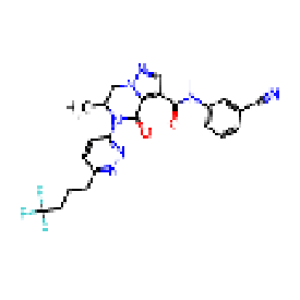 CC1Cn2ncc(C(=O)Nc3cccc(C#N)c3)c2C(=O)N1c1ccc(CCCC(F)(F)F)nn1